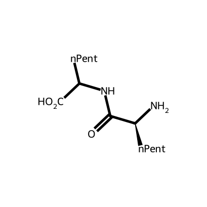 CCCCCC(NC(=O)[C@@H](N)CCCCC)C(=O)O